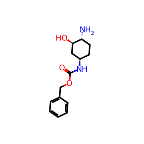 N[C@@H]1CC[C@@H](NC(=O)OCc2ccccc2)C[C@H]1O